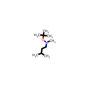 CC(C)C[CH]N(C)OC(C)(C)C